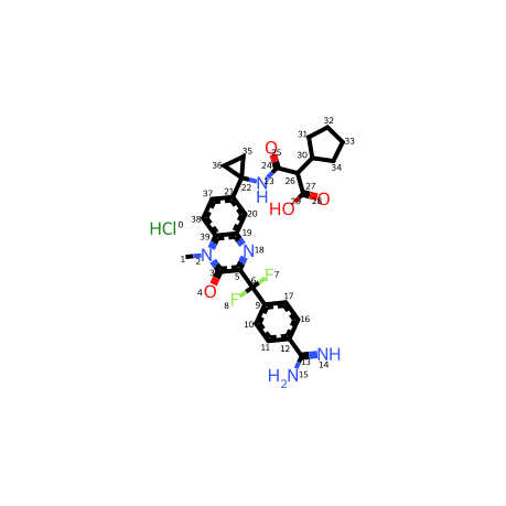 Cl.Cn1c(=O)c(C(F)(F)c2ccc(C(=N)N)cc2)nc2cc(C3(NC(=O)C(C(=O)O)C4CCCC4)CC3)ccc21